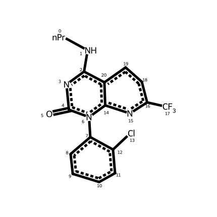 CCCNc1nc(=O)n(-c2ccccc2Cl)c2nc(C(F)(F)F)ccc12